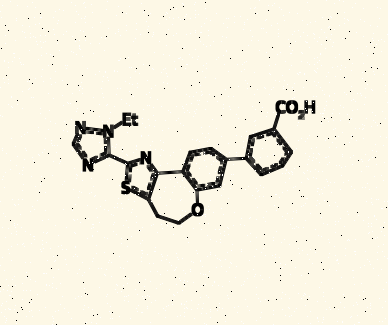 CCn1ncnc1-c1nc2c(s1)CCOc1cc(-c3cccc(C(=O)O)c3)ccc1-2